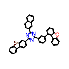 c1cc(-c2nc(-c3ccc4ccccc4c3)nc(-c3ccc4c(c3)sc3ccccc34)n2)cc(-c2cccc3oc4ccccc4c23)c1